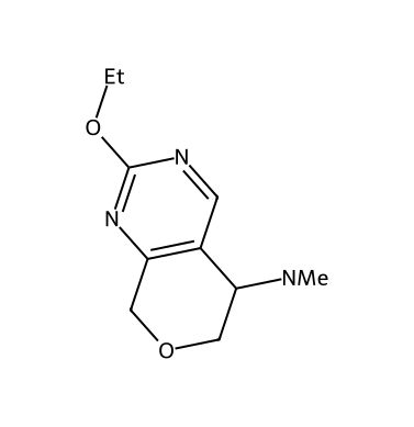 CCOc1ncc2c(n1)COCC2NC